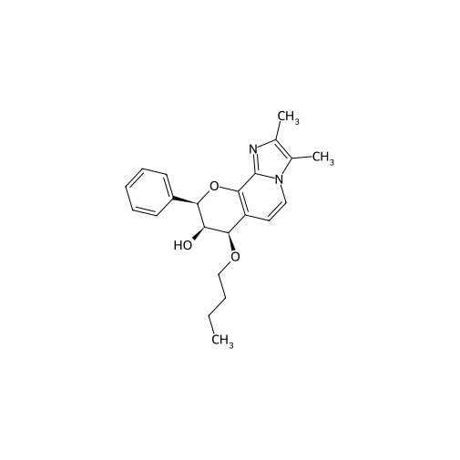 CCCCO[C@@H]1c2ccn3c(C)c(C)nc3c2O[C@H](c2ccccc2)[C@@H]1O